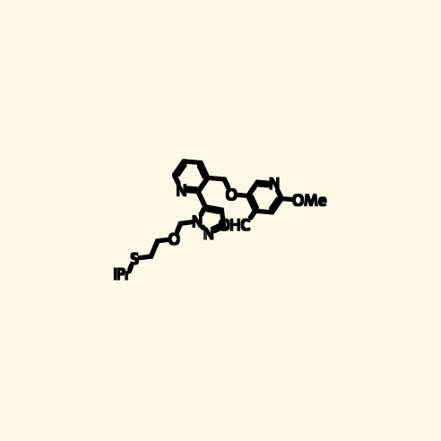 COc1cc(C=O)c(OCc2cccnc2-c2ccnn2COCCSC(C)C)cn1